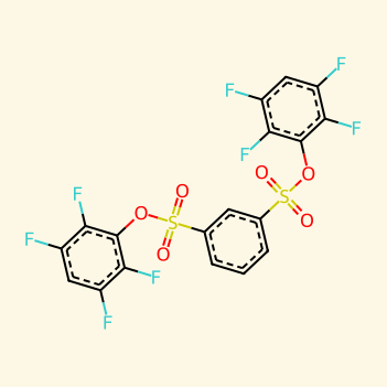 O=S(=O)(Oc1c(F)c(F)cc(F)c1F)c1cccc(S(=O)(=O)Oc2c(F)c(F)cc(F)c2F)c1